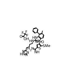 CSc1sc(C(=N)N)cc1S(=O)(=O)c1ccc(C)c(-c2ccccc2)c1NC(=O)NCCCCc1nn[nH]n1.O=C(O)C(F)(F)F